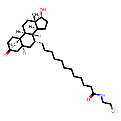 C[C@]12CCC(=O)C[C@@H]1C[C@@H](CCCCCCCCCCCC(=O)NCCO)[C@@H]1[C@@H]2CC[C@]2(C)[C@@H](O)CC[C@@H]12